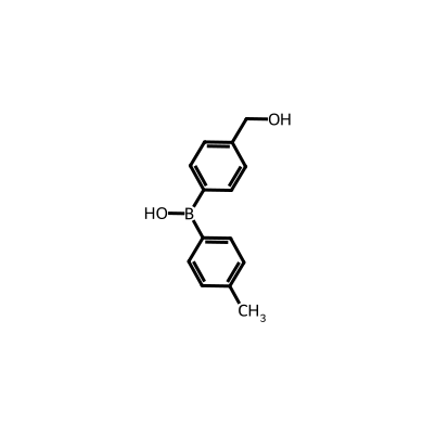 Cc1ccc(B(O)c2ccc(CO)cc2)cc1